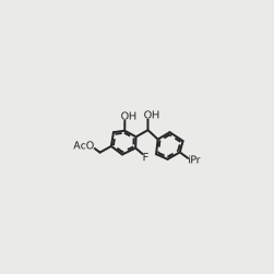 CC(=O)OCc1cc(O)c(C(O)c2ccc(C(C)C)cc2)c(F)c1